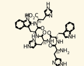 N[C@@H](Cc1c[nH]cn1)C(=O)N[C@@H](Cc1c[nH]c2ccccc12)C(=O)N[C@@H](Cc1c[nH]cn1)C(=O)N[C@@H](Cc1c[nH]c2ccccc12)C(=O)N[C@@H](Cc1c[nH]cn1)C(=O)O